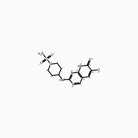 NS(=O)(=O)N1CCC(Nc2ncc3cc(Cl)c(=O)[nH]c3n2)CC1